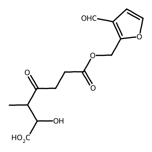 CC(C(=O)CCC(=O)OCc1occc1C=O)C(O)C(=O)O